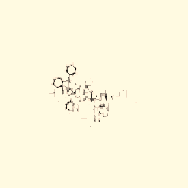 C=CCON=C(C(=O)NC1C(=O)N2CC(C(=C)c3cccnc3)(C(=O)OC(c3ccccc3)c3ccccc3)CS[C@H]12)c1nsc(N)n1